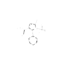 Cc1cc(C(=O)O)c(-c2ccccc2)n1C(F)(F)F